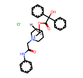 O=C(C[N+]12CCC(CC1)[C@@H](OC(=O)C(O)(c1ccccc1)c1ccccc1)C2)Nc1ccccc1.[Cl-]